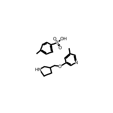 Cc1ccc(S(=O)(=O)O)cc1.Cc1cncc(OCC2CCNC2)c1